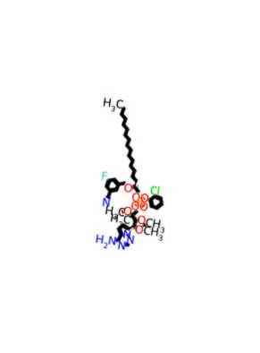 CCCCCCCCCCCCCCCC[C@@H](COP(=O)(OC[C@@](C)(OC)[C@H]1OC(C)(C)O[C@H]1c1ccc2c(N)ncnn12)Oc1ccccc1Cl)OCc1cc(F)cc(C#N)c1